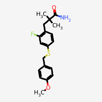 COc1ccc(CSc2ccc(CC(C)(C)C(N)=O)c(F)c2)cc1